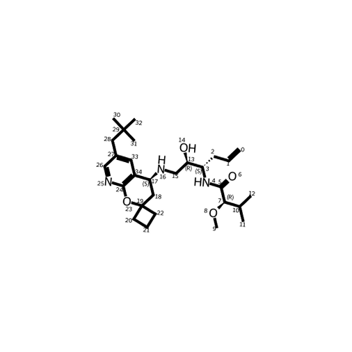 C=CC[C@H](NC(=O)[C@H](OC)C(C)C)[C@H](O)CN[C@H]1CC2(CCC2)Oc2ncc(CC(C)(C)C)cc21